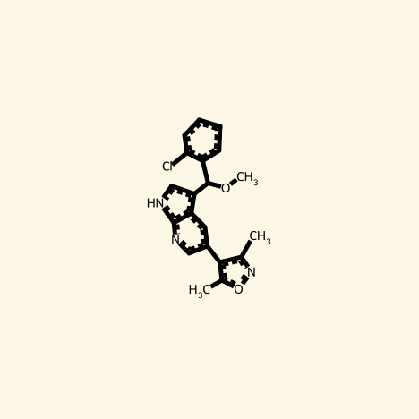 COC(c1ccccc1Cl)c1c[nH]c2ncc(-c3c(C)noc3C)cc12